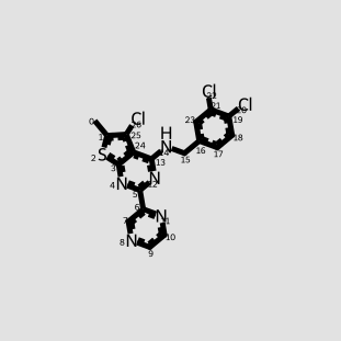 Cc1sc2nc(-c3cnccn3)nc(NCc3ccc(Cl)c(Cl)c3)c2c1Cl